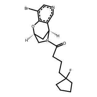 O=C(CCCC1(F)CCCC1)N1C[C@@H]2C[C@H]1c1cncc(Br)c1O2